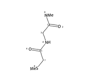 CNC(=O)CNC(=O)CSC